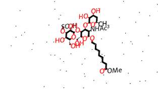 COC(=O)CCCCCCCCO[C@@H]1O[C@H](CO)[C@@H](O[C@@H]2O[C@H](CO)[C@H](O)[C@H](OS(=O)(=O)O)[C@H]2O)[C@H](O[C@@H]2O[C@@H](C)C[C@@H](O)[C@@H]2O)[C@H]1NC(C)=O